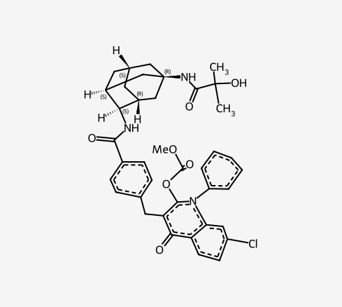 COC(=O)Oc1c(Cc2ccc(C(=O)N[C@@H]3[C@@H]4C[C@@H]5C[C@H]3C[C@](NC(=O)C(C)(C)O)(C5)C4)cc2)c(=O)c2ccc(Cl)cc2n1-c1ccccc1